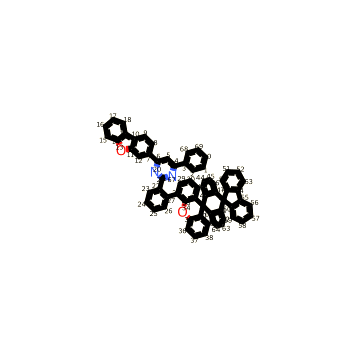 c1ccc(-c2cc(-c3ccc4c(c3)oc3ccccc34)nc(-c3ccccc3-c3cccc4c3Oc3ccccc3C43c4ccccc4C4(c5ccccc5-c5ccccc54)c4ccccc43)n2)cc1